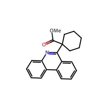 COC(=O)C1(c2nc3ccccc3c3ccccc23)CCCCC1